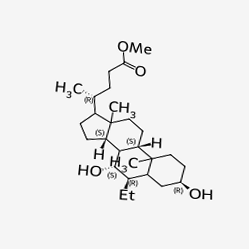 CC[C@@H]1C2C[C@H](O)CCC2(C)[C@H]2CCC3(C)C([C@H](C)CCC(=O)OC)CC[C@H]3C2[C@H]1O